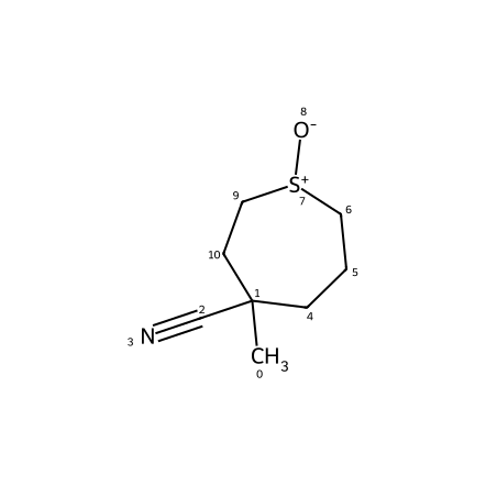 CC1(C#N)CCC[S+]([O-])CC1